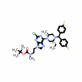 CC[C@@H]1CN(c2nc(Cl)nc3c2ncn3CCN(C)C(=O)OC(C)(C)C)[C@@H](C)CN1C(c1ccc(F)cc1)c1ccc(F)cc1